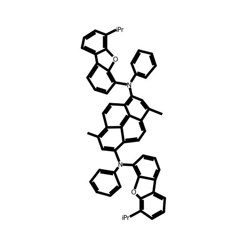 Cc1cc(N(c2ccccc2)c2cccc3c2oc2c(C(C)C)cccc23)c2ccc3c(C)cc(N(c4ccccc4)c4cccc5c4oc4c(C(C)C)cccc45)c4ccc1c2c34